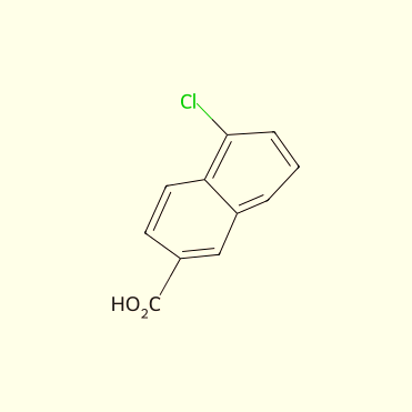 O=C(O)c1ccc2c(Cl)cccc2c1